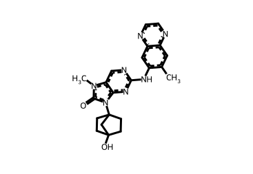 Cc1cc2nccnc2cc1Nc1ncc2c(n1)n(C13CCC(O)(CC1)C3)c(=O)n2C